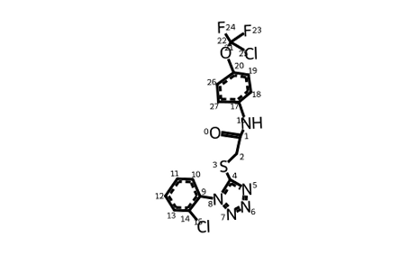 O=C(CSc1nnnn1-c1ccccc1Cl)Nc1ccc(OC(F)(F)Cl)cc1